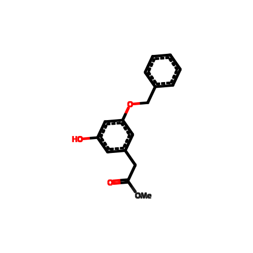 COC(=O)Cc1cc(O)cc(OCc2ccccc2)c1